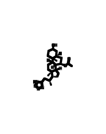 CC(=O)O[C@@H]1C[C@@H]2C[C@H](O)CC[C@]2(C)[C@H]2CC[C@]3(C)[C@@H]([C@H](C)Cc4nnn[nH]4)CC[C@H]3[C@H]12